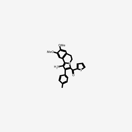 COc1cc2c(cc1OC)-c1c(N)c(-c3ccc(C)cc3)c(C(=O)c3cccs3)n1CC2